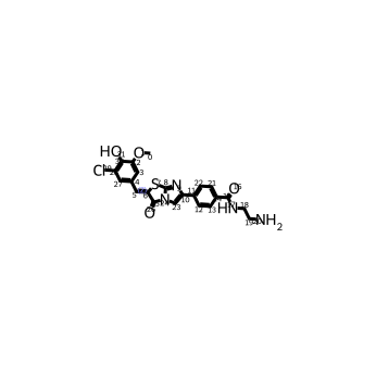 COc1cc(/C=c2\sc3nc(-c4ccc(C(=O)NCCN)cc4)cn3c2=O)cc(Cl)c1O